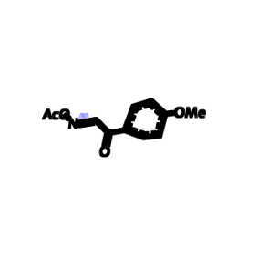 COc1ccc(C(=O)/C=N/OC(C)=O)cc1